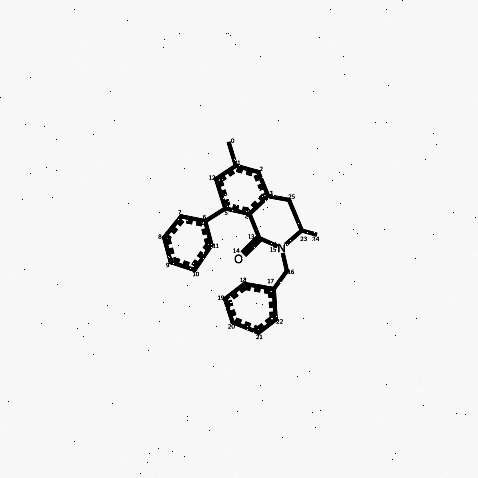 Cc1cc2c(c(-c3ccccc3)c1)C(=O)N(Cc1ccccc1)C(C)C2